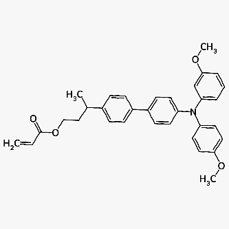 C=CC(=O)OCCC(C)c1ccc(-c2ccc(N(c3ccc(OC)cc3)c3cccc(OC)c3)cc2)cc1